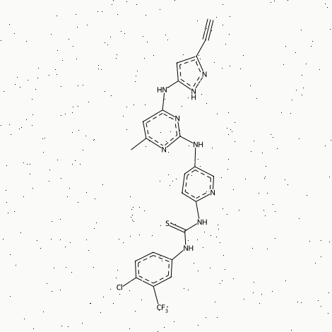 C#Cc1cc(Nc2cc(C)nc(Nc3ccc(NC(=S)Nc4ccc(Cl)c(C(F)(F)F)c4)nc3)n2)[nH]n1